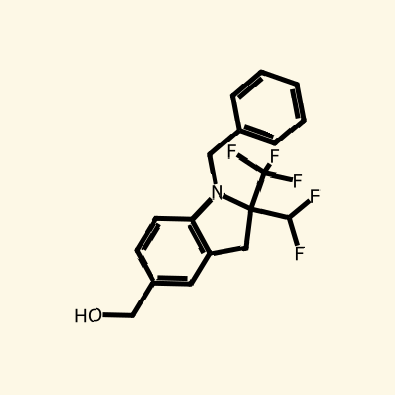 OCc1ccc2c(c1)CC(C(F)F)(C(F)(F)F)N2Cc1ccccc1